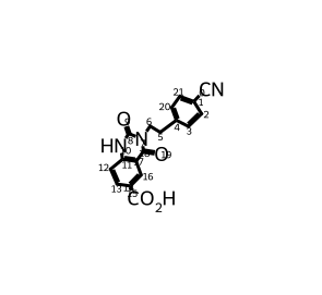 N#Cc1ccc(CCn2c(=O)[nH]c3ccc(C(=O)O)cc3c2=O)cc1